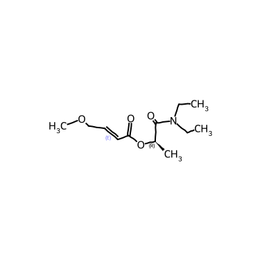 CCN(CC)C(=O)[C@@H](C)OC(=O)/C=C/COC